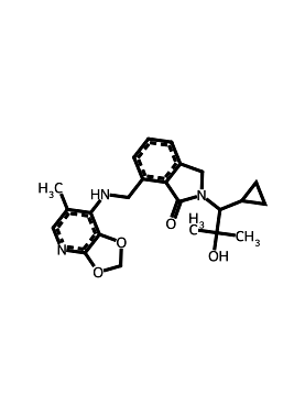 Cc1cnc2c(c1NCc1cccc3c1C(=O)N(C(C1CC1)C(C)(C)O)C3)OCO2